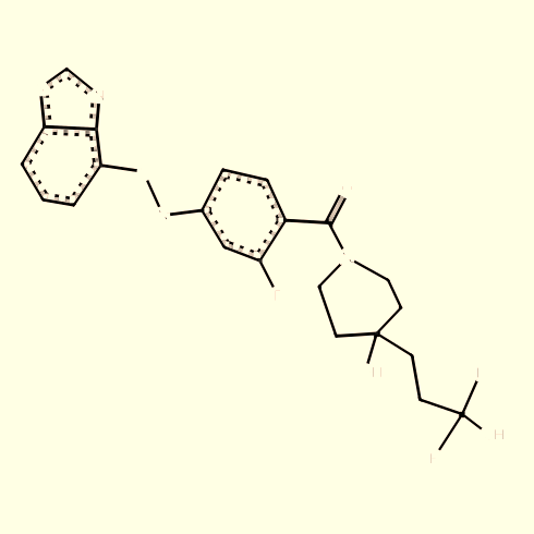 CC(F)(F)CCC1(O)CCN(C(=O)c2ccc(NSc3cccc4scnc34)cc2F)CC1